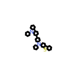 c1ccc(N(c2ccc(-c3ccc4c5ccccc5n(-c5ccccc5)c4c3)cc2)c2ccc3c(c2)sc2ccccc23)cc1